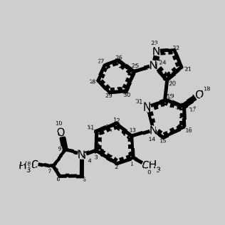 Cc1cc(N2CCC(C)C2=O)ccc1-n1ccc(=O)c(-c2ccnn2-c2ccccc2)n1